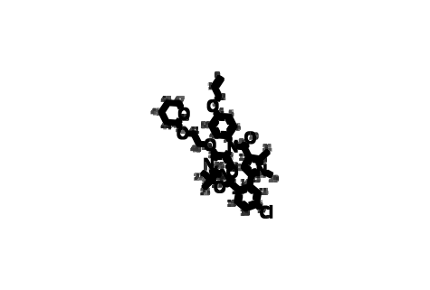 C=CCOc1ccc(N(C(=O)c2cc(-c3cc(Cl)ccc3C(=O)OC(C)(C)C)n(C)c2C)c2cnc(C)nc2OCCOC2CCCCO2)cc1